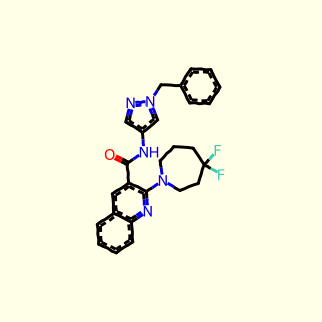 O=C(Nc1cnn(Cc2ccccc2)c1)c1cc2ccccc2nc1N1CCCC(F)(F)CC1